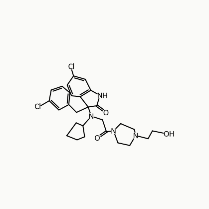 O=C(CN(C1CCCC1)C1(Cc2cccc(Cl)c2)C(=O)Nc2cc(Cl)ccc21)N1CCN(CCO)CC1